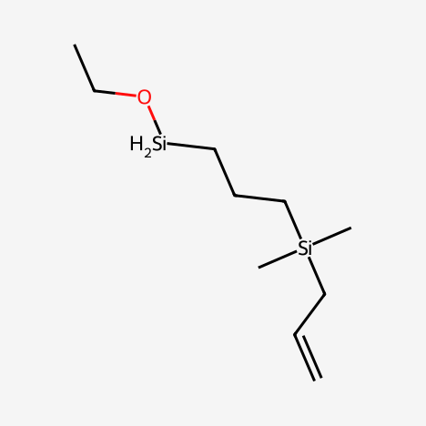 C=CC[Si](C)(C)CCC[SiH2]OCC